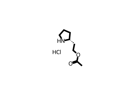 CC(=O)OCC[C@H]1CCCN1.Cl